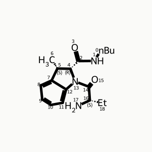 CCCCNC(=O)[C@H]1[C@@H](C)c2ccccc2N1C(=O)[C@@H](N)CC